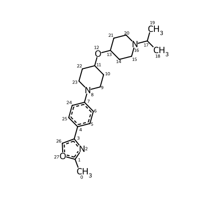 Cc1nc(-c2ccc(N3CCC(OC4CCN(C(C)C)CC4)CC3)cc2)co1